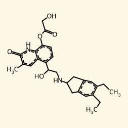 CCc1cc2c(cc1CC)CC(NCC(O)c1ccc(OC(=O)CO)c3[nH]c(=O)c(C)cc13)C2